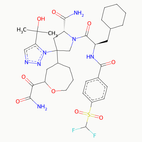 CC(C)(O)c1cnnn1C1(C2CCCOC(C(=O)C(N)=O)C2)C[C@H](C(N)=O)N(C(=O)[C@@H](CC2CCCCC2)NC(=O)c2ccc(S(=O)(=O)C(F)F)cc2)C1